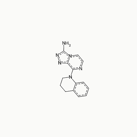 Nc1nnc2c(N3CCCc4ccccc43)nccn12